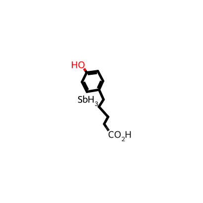 O=C(O)CCCCc1ccc(O)cc1.[SbH3]